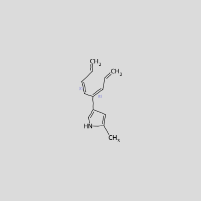 C=C/C=C\C(=C/C=C)c1c[nH]c(C)c1